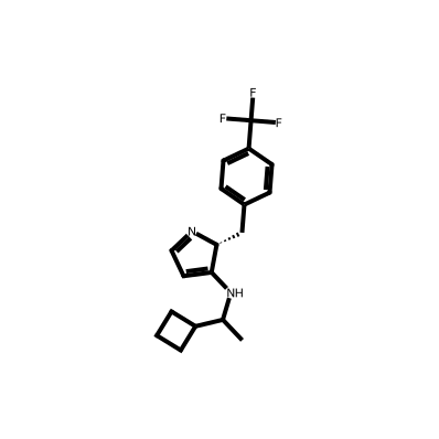 CC(NC1=CC=N[C@@H]1Cc1ccc(C(F)(F)F)cc1)C1CCC1